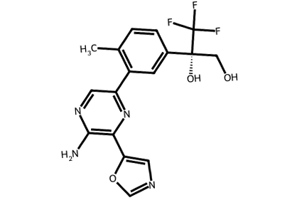 Cc1ccc([C@](O)(CO)C(F)(F)F)cc1-c1cnc(N)c(-c2cnco2)n1